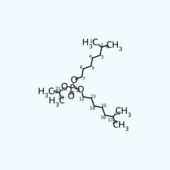 CC(C)CCCCCOP(=O)(OCCCCCC(C)C)OC(C)C